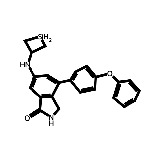 O=C1NCc2c1cc(NC1C[SiH2]C1)cc2-c1ccc(Oc2ccccc2)cc1